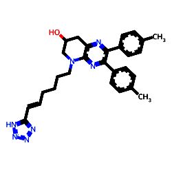 Cc1ccc(-c2nc3c(nc2-c2ccc(C)cc2)N(CCCC/C=C/c2nnn[nH]2)CC(O)C3)cc1